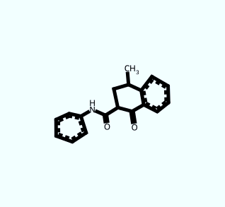 CC1CC(C(=O)Nc2ccccc2)C(=O)c2ccccc21